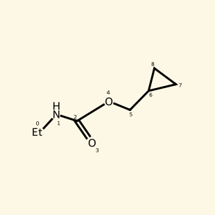 CCNC(=O)OCC1CC1